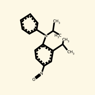 CC(C)c1cc(N=O)ccc1N(c1ccccc1)C(C)C